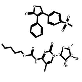 CCCCCOC(=O)Nc1nc(=O)n([C@@H]2O[C@H](C)[C@@H](O)[C@H]2O)cc1F.CS(=O)(=O)c1ccc(C2=C(c3ccccc3)C(=O)OC2)cc1